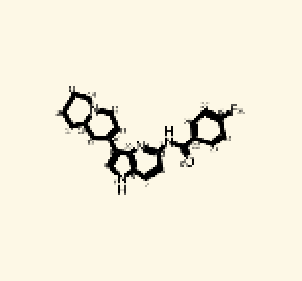 O=C(Nc1ccc2[nH]cc(C3=CCN4CCCCC4C3)c2n1)c1ccc(F)cc1